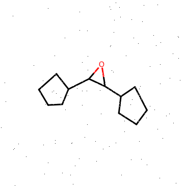 C1CCC(C2OC2C2CCCC2)C1